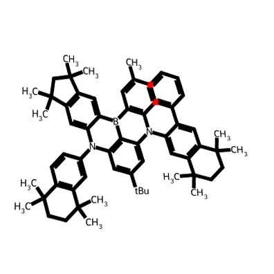 Cc1ccc2c(c1)B1c3cc4c(cc3N(c3ccc5c(c3)C(C)(C)CCC5(C)C)c3cc(C(C)(C)C)cc(c31)N2c1cc2c(cc1-c1ccccc1)C(C)(C)CCC2(C)C)C(C)(C)CC4(C)C